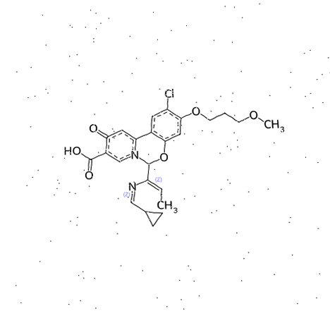 C/C=C(\N=C/C1CC1)C1Oc2cc(OCCCOC)c(Cl)cc2-c2cc(=O)c(C(=O)O)cn21